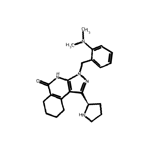 CN(C)c1ccccc1Cn1nc([C@H]2CCCN2)c2c3c(c(=O)[nH]c21)CCCC3